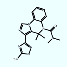 CN(C)C(=O)N1c2ccccc2-n2cnc(-c3noc(C(C)(C)C)n3)c2C1(C)C